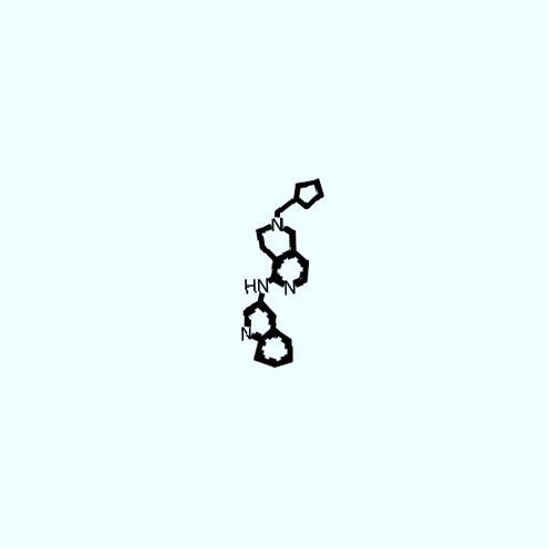 c1ccc2ncc(Nc3nccc4c3CCN(CC3CCCC3)C4)cc2c1